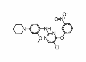 COc1cc(N2CCCCC2)ccc1Nc1ncc(Cl)c(Oc2cccc([N+](=O)[O-])c2)n1